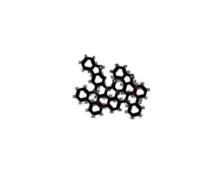 O=C1N2c3cc4oc5ccccc5c4cc3B(c3ccccc3-c3ccccc3)c3ccc4ccc5c(c4c32)N1c1c(ccc2oc3ccccc3c12)B5c1ccccc1-c1ccccc1